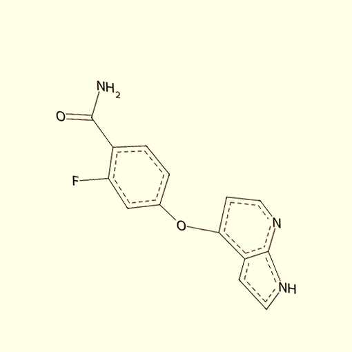 NC(=O)c1ccc(Oc2ccnc3[nH]ccc23)cc1F